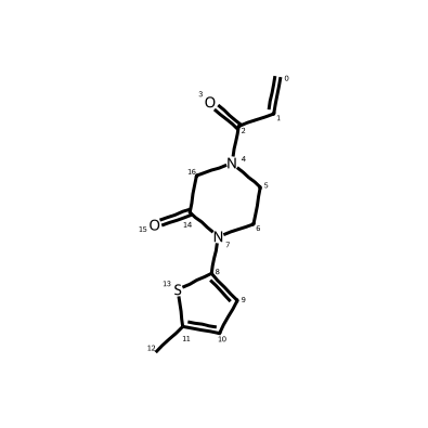 C=CC(=O)N1CCN(c2ccc(C)s2)C(=O)C1